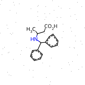 CC(CC(=O)O)NC(c1ccccc1)c1ccccc1